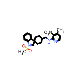 Cc1ccnc(NCC2CCC3(CC2)CN(S(C)(=O)=O)c2ccccc23)c1[N+](=O)[O-]